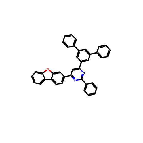 c1ccc(-c2cc(-c3ccccc3)cc(-c3cc(-c4ccc5c(c4)oc4ccccc45)nc(-c4ccccc4)n3)c2)cc1